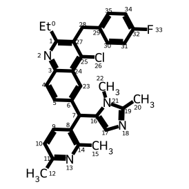 CCc1nc2ccc(C(c3ccc(C)nc3C)c3cnc(C)n3C)cc2c(Cl)c1Cc1ccc(F)cc1